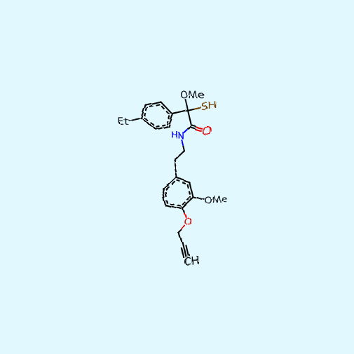 C#CCOc1ccc(CCNC(=O)C(S)(OC)c2ccc(CC)cc2)cc1OC